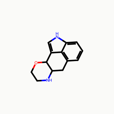 c1cc2c3c(c[nH]c3c1)C1OCCNC1C2